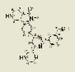 CN(C(=O)C1CCNCC1)c1cccc(-c2cc(C3CNCCO3)nc(-c3cccc(CO)c3)n2)c1